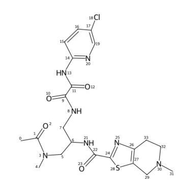 CC(=O)N(C)CC(CNC(=O)C(=O)Nc1ccc(Cl)cn1)NC(=O)c1nc2c(s1)CN(C)CC2